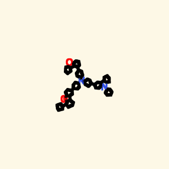 c1ccc(-c2cccc3c2oc2ccc(-c4ccc(N(c5ccc(-c6ccc7c(c6)c6ccccc6n7-c6ccccc6)cc5)c5ccc(-c6cccc7oc8ccccc8c67)cc5)cc4)cc23)cc1